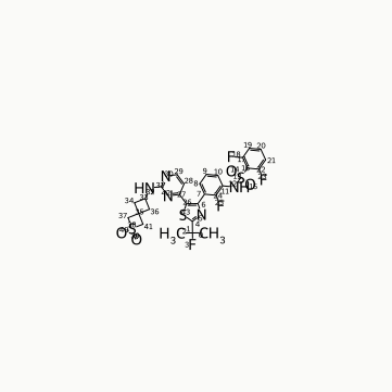 CC(C)(F)c1nc(-c2cccc(NS(=O)(=O)c3c(F)cccc3F)c2F)c(-c2ccnc(NC3CC4(C3)CS(=O)(=O)C4)n2)s1